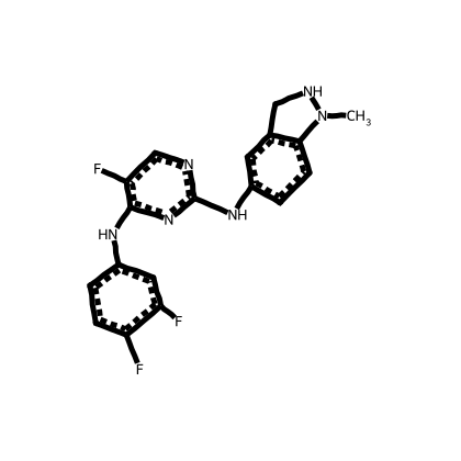 CN1NCc2cc(Nc3ncc(F)c(Nc4ccc(F)c(F)c4)n3)ccc21